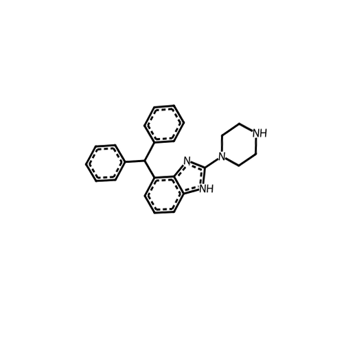 c1ccc(C(c2ccccc2)c2cccc3[nH]c(N4CCNCC4)nc23)cc1